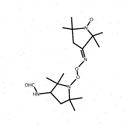 CC1(C)CC(=NOON2C(C)(C)CC(NC=O)C2(C)C)C(C)(C)N1[O]